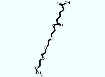 COCCOCCOCCOCCOC(=O)CCCCC(=O)O